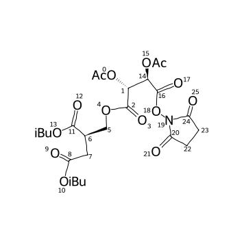 CC(=O)O[C@@H](C(=O)OC[C@@H](CC(=O)OCC(C)C)C(=O)OCC(C)C)[C@@H](OC(C)=O)C(=O)ON1C(=O)CCC1=O